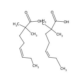 CC/C=C\CCC(C)(C)C(=O)O.CC/C=C\CCC(C)(C)C(=O)O